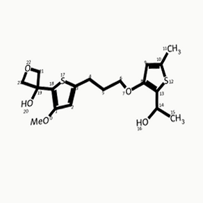 COc1cc(CCCOc2cc(C)sc2C(C)O)sc1C1(O)COC1